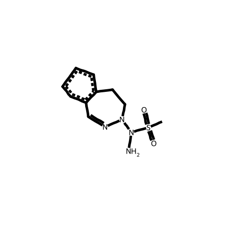 CS(=O)(=O)N(N)N1CCc2ccccc2C=N1